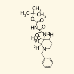 [2H]C1CCN(Cc2ccccc2)C([2H])([2H])C1(C)NS(=O)(=O)NC(=O)OC(C)(C)C